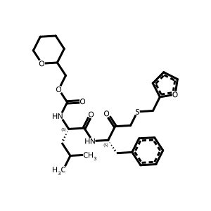 CC(C)C[C@H](NC(=O)OCC1CCCCO1)C(=O)N[C@@H](Cc1ccccc1)C(=O)CSCc1ccco1